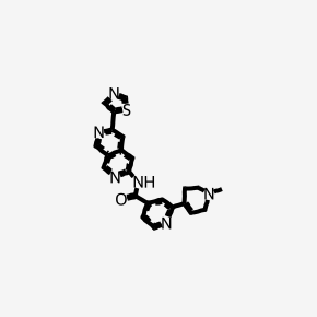 CN1CC=C(c2cc(C(=O)Nc3cc4cc(-c5cncs5)ncc4cn3)ccn2)CC1